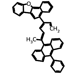 C=C/C(=C\C=C(/C)c1c2ccccc2c(-c2ccccc2)c2ccccc12)c1cc2c(oc3ccccc32)c2c1C=C=C=C2